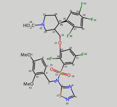 COc1ccc(CN(c2ncns2)S(=O)(=O)c2cc(F)cc(OCC3CN(C(=O)O)CC[C@H]3c3cc(F)c(F)cc3F)c2F)c(OC)c1